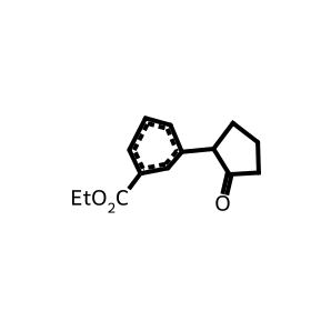 CCOC(=O)c1cccc(C2CCCC2=O)c1